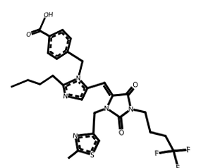 CCCCc1ncc(C=C2C(=O)N(CCCC(F)(F)F)C(=O)N2Cc2csc(C)n2)n1Cc1ccc(C(=O)O)cc1